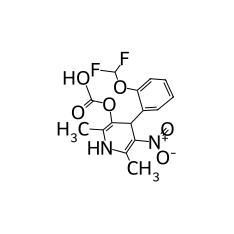 CC1=C(OC(=O)O)C(c2ccccc2OC(F)F)C([N+](=O)[O-])=C(C)N1